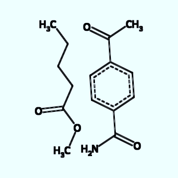 CC(=O)c1ccc(C(N)=O)cc1.CCCCC(=O)OC